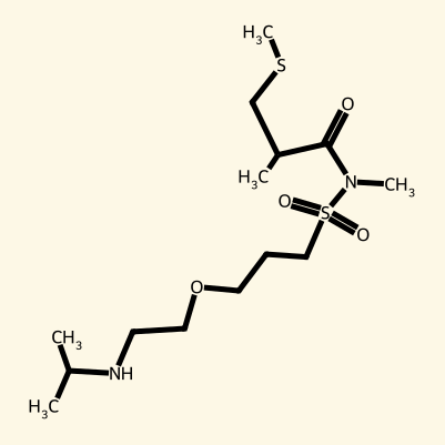 CSCC(C)C(=O)N(C)S(=O)(=O)CCCOCCNC(C)C